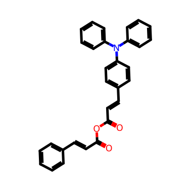 O=C(C=Cc1ccccc1)OC(=O)C=Cc1ccc(N(c2ccccc2)c2ccccc2)cc1